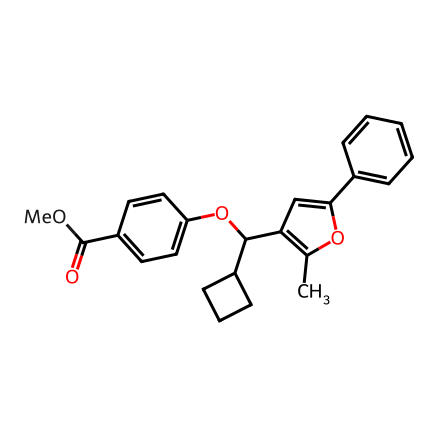 COC(=O)c1ccc(OC(c2cc(-c3ccccc3)oc2C)C2CCC2)cc1